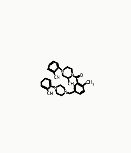 Cc1ccc(CN2CCN(C3=CCCC=C3C#N)CC2)cc1C(=O)N1CCN(c2ccccc2C#N)CC1C